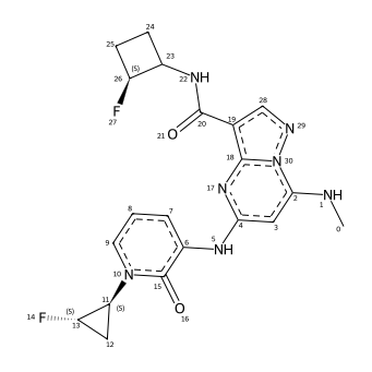 CNc1cc(Nc2cccn([C@H]3C[C@@H]3F)c2=O)nc2c(C(=O)NC3CC[C@@H]3F)cnn12